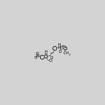 Cc1cc[nH]c1C(=O)Nc1cccc(/C=C/C(=O)c2[nH]c3cc([N+](=O)[O-])ccc3c2CCl)c1